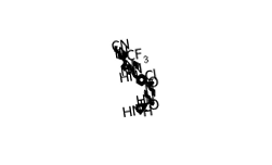 N#CCn1cc(-c2cnc3c(Nc4ccc(C(=O)N5CCN(C(=O)[C@H]6[C@@H]7CNC[C@@H]76)CC5)c(Cl)c4)nccn23)c(C(F)(F)F)n1